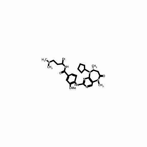 CCC(CCN(C)C)NC(=O)c1ccc(Nc2ncc3c(n2)N(C2CCCC2)[C@H](C)CC(=O)N3C)c(OC)c1